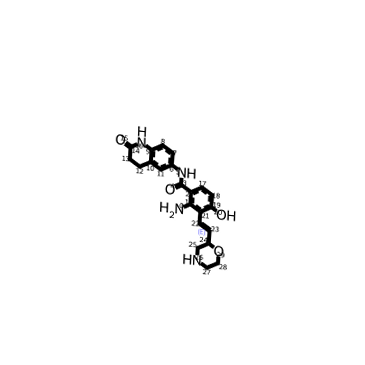 Nc1c(C(=O)Nc2ccc3c(c2)CCC(=O)N3)ccc(O)c1/C=C/C1CNCCO1